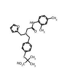 Cc1ccc(NC(=O)CN(Cc2ccc(SC(C)(C)C(=O)O)cc2)Cc2ccco2)c(C)c1